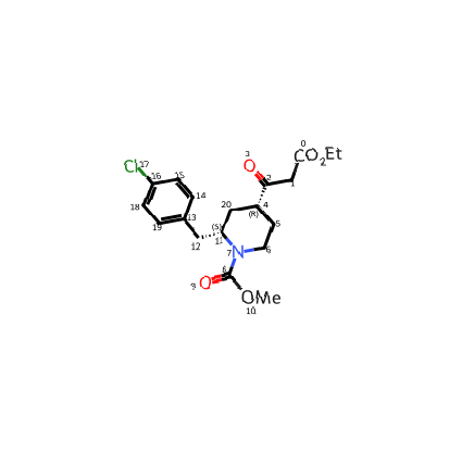 CCOC(=O)CC(=O)[C@@H]1CCN(C(=O)OC)[C@H](Cc2ccc(Cl)cc2)C1